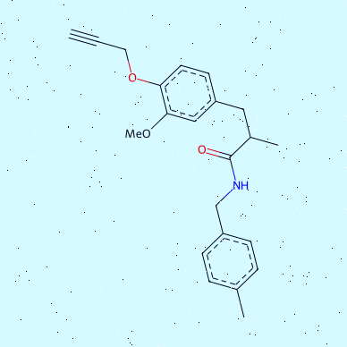 C#CCOc1ccc(CC(C)C(=O)NCc2ccc(C)cc2)cc1OC